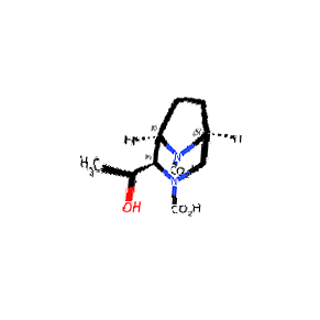 CC(O)[C@H]1[C@H]2CC[C@@H](CN1C(=O)O)N2C(=O)O